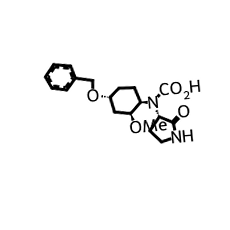 CO[C@H]1C[C@H](OCc2ccccc2)CC[C@H]1N(C(=O)O)[C@H]1CCNC1=O